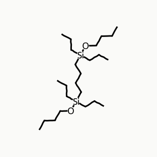 CCCCO[Si](CCC)(CCC)CCCC[Si](CCC)(CCC)OCCCC